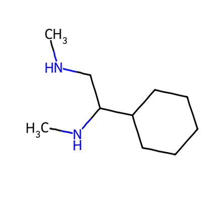 CNCC(NC)C1CCCCC1